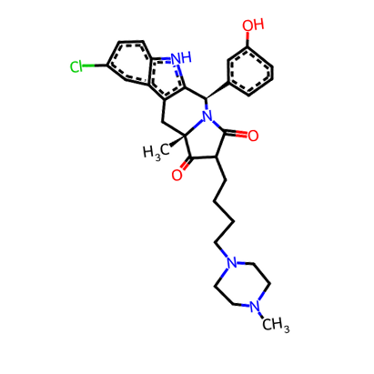 CN1CCN(CCCCC2C(=O)N3[C@H](c4cccc(O)c4)c4[nH]c5ccc(Cl)cc5c4C[C@@]3(C)C2=O)CC1